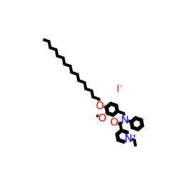 CCCCCCCCCCCCCCCCOc1ccc(CN(C(=O)c2ccc[n+](CC)c2)c2ccccc2)cc1OC.[I-]